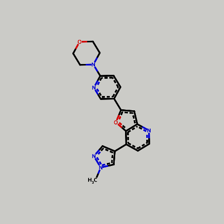 Cn1cc(-c2ccnc3cc(-c4ccc(N5CCOCC5)nc4)oc23)cn1